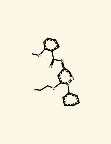 CCCOc1c/c(=N\C(=O)c2ccccc2OC)cnn1-c1ccccc1